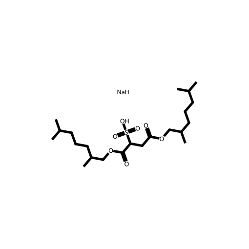 CC(C)CCCC(C)COC(=O)CC(C(=O)OCC(C)CCCC(C)C)S(=O)(=O)O.[NaH]